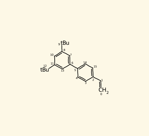 C=Cc1ccc(-c2cc(C(C)(C)C)cc(C(C)(C)C)c2)cc1